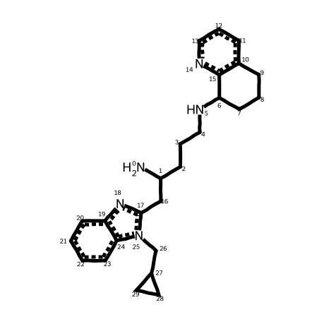 NC(CCCNC1CCCc2cccnc21)Cc1nc2ccccc2n1CC1CC1